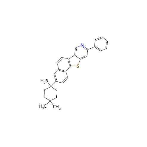 BC1(c2ccc3c(ccc4c5cnc(-c6ccccc6)cc5sc34)c2)CCC(C)(C)CC1